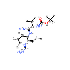 CC/C=C\C(N=C(N)[C@@H](NC(=O)OC(C)(C)C)C(C)C)[C@@H](C)[C@@H](C)[C@H](C)/N=C\N